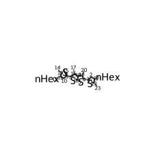 CCCCCCc1cc(-c2sc3sc(-c4cc(CCCCCC)c(C)s4)c(C)c3c2C)sc1C